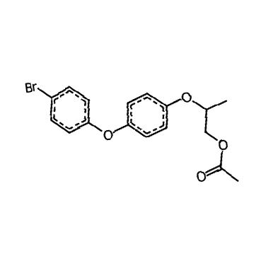 CC(=O)OCC(C)Oc1ccc(Oc2ccc(Br)cc2)cc1